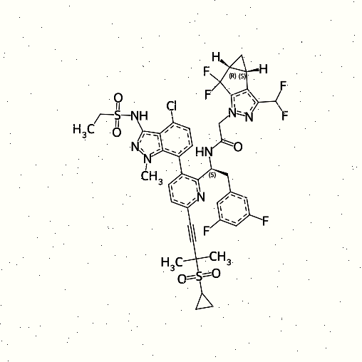 CCS(=O)(=O)Nc1nn(C)c2c(-c3ccc(C#CC(C)(C)S(=O)(=O)C4CC4)nc3[C@H](Cc3cc(F)cc(F)c3)NC(=O)Cn3nc(C(F)F)c4c3C(F)(F)[C@@H]3C[C@H]43)ccc(Cl)c12